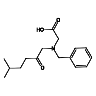 CC(C)CCC(=O)CN(CC(=O)O)Cc1ccccc1